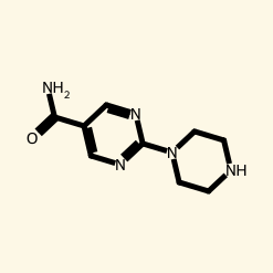 NC(=O)c1cnc(N2CCNCC2)nc1